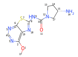 COc1ncnc2sc(NC(=O)N3CC[C@H](N)C3)nc12